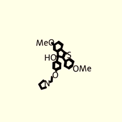 COc1ccc2c(c1)C(O)(c1ccc(OCCN3CCCC3)cc1)c1c-2sc2cc(OC)ccc12